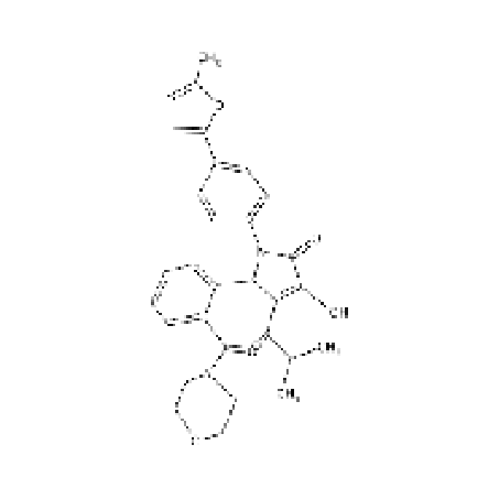 Cc1ccc(-c2ccc(N3C(=O)C(O)=C(C(=O)C(C)C)C3c3ccccc3C(=O)N3CCOCC3)cc2)o1